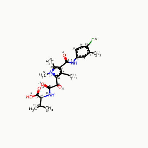 Cc1cc(NC(=O)c2c(C)c(C(=O)C(=O)N[C@H](C(=O)O)C(C)C)n(C)c2C)ccc1F